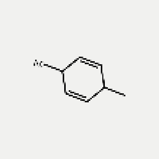 CC(=O)C1C=CC(C)C=C1